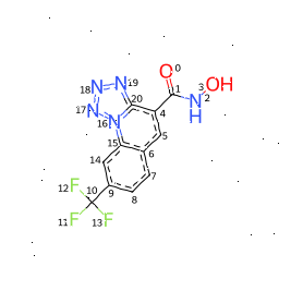 O=C(NO)c1cc2ccc(C(F)(F)F)cc2n2nnnc12